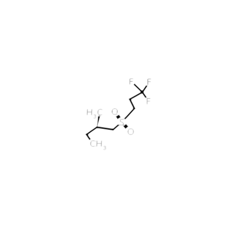 CC[C@@H](C)CS(=O)(=O)CCC(F)(F)F